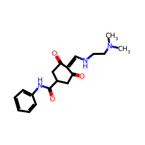 CN(C)CCNC=C1C(=O)CC(C(=O)Nc2ccccc2)CC1=O